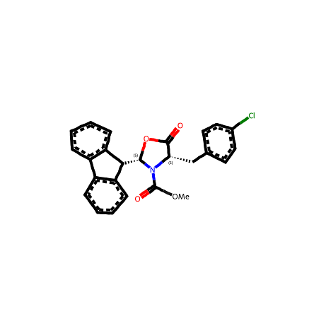 COC(=O)N1[C@@H](Cc2ccc(Cl)cc2)C(=O)O[C@H]1C1c2ccccc2-c2ccccc21